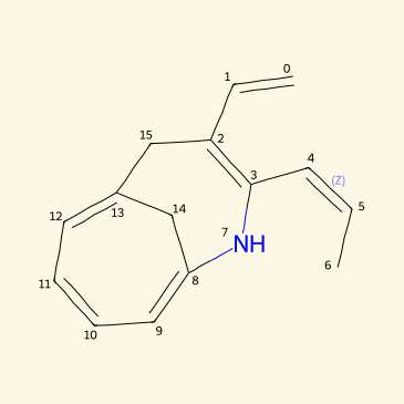 C=CC1=C(/C=C\C)NC2=CC=CC=C(C2)C1